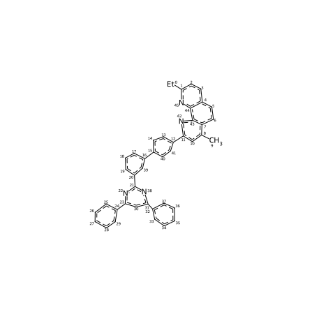 CCc1ccc2ccc3c(C)cc(-c4ccc(-c5cccc(-c6nc(-c7ccccc7)cc(-c7ccccc7)n6)c5)cc4)nc3c2n1